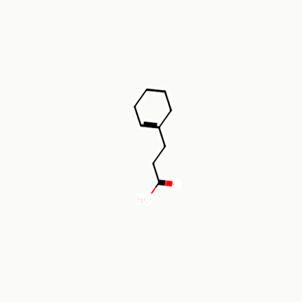 O=C(O)CCC1=CCCCC1